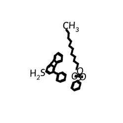 CCCCCCCCCCCCOS(=O)(=O)c1ccccc1.S.c1ccc(-c2cccc3c2-c2ccccc2-3)cc1